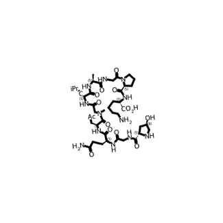 CC(=O)C[C@H](NC(=O)[C@H](CCC(N)=O)NC(=O)CNC(=O)[C@@H]1C[C@@H](O)CN1)C(=O)N(C)CC(=O)N[C@@H](CC(C)C)C(=O)N[C@@H](C)C(=O)NCC(=O)N1CCC[C@H]1C(=O)N[C@@H](CCCCN)C(=O)O